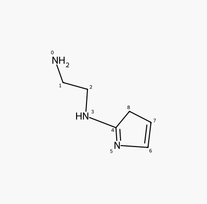 NCCNC1=NC=CC1